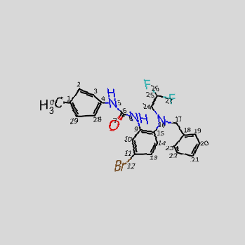 Cc1ccc(NC(=O)Nc2cc(Br)ccc2N(Cc2ccccc2)CC(F)F)cc1